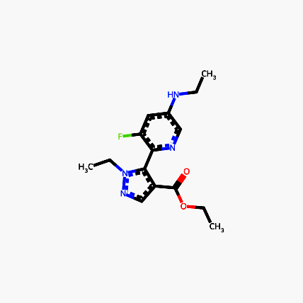 CCNc1cnc(-c2c(C(=O)OCC)cnn2CC)c(F)c1